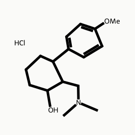 COc1ccc(C2CCCC(O)C2CN(C)C)cc1.Cl